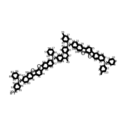 Cc1ccc(N(c2ccccc2)c2ccc3cc4c(cc3c2)oc2c4ccc3c4cc5ccc(N(c6ccc(C)cc6)c6cccc(CC(C)c7ccc(N(c8ccccc8)c8ccc9cc%10c(cc9c8)oc8c%10ccc9c%10cc%11ccc(N(c%12ccccc%12)c%12ccc(C(C)C)cc%12)cc%11cc%10oc98)cc7)c6)cc5cc4oc32)cc1